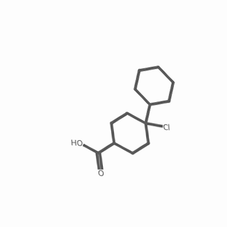 O=C(O)C1CCC(Cl)(C2CCCCC2)CC1